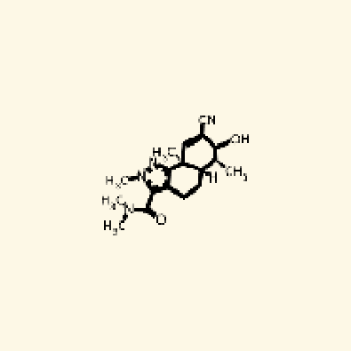 C[C@@H]1C(O)C(C#N)=C[C@]2(C)c3nn(C)c(C(=O)N(C)C)c3CC[C@@H]12